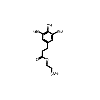 CSCCOC(=O)CCc1cc(C(C)(C)C)c(O)c(C(C)(C)C)c1